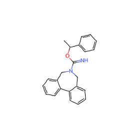 CC(OC(=N)N1Cc2ccccc2-c2ccccc2C1)c1ccccc1